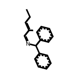 CC/C=C(C)/C=N\C(c1ccccc1)c1ccccc1